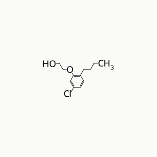 CCCCc1ccc(Cl)cc1OCCO